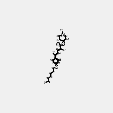 CCCCCCCOc1ccc(/C(C)=C/C=C(\C)C(=O)OC2CCN(C)CC2)cc1